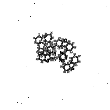 c1ccc2c(c1)-c1ccccc1C21c2ccccc2-c2c(-c3ccc4oc5cccc(-c6nc(-c7ccc8c(c7)oc7ccccc78)nc(-c7cccc8sc9ccccc9c78)n6)c5c4c3)cccc21